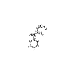 C=C[SiH2]Nc1ccccc1